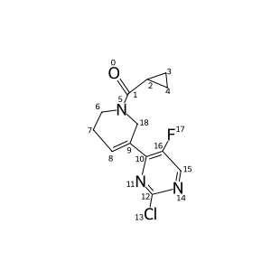 O=C(C1CC1)N1CCC=C(c2nc(Cl)ncc2F)C1